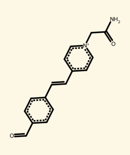 NC(=O)C[n+]1ccc(/C=C/c2ccc(C=O)cc2)cc1